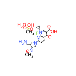 CON=C1CN(c2ccc3c(n2)[N+](F)(C2CC2)C=C(C(=O)O)C3=O)CC1CN.CS(=O)(=O)O.O